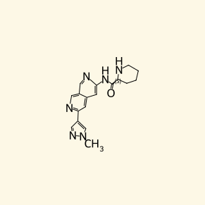 Cn1cc(-c2cc3cc(NC(=O)[C@@H]4CCCCN4)ncc3cn2)cn1